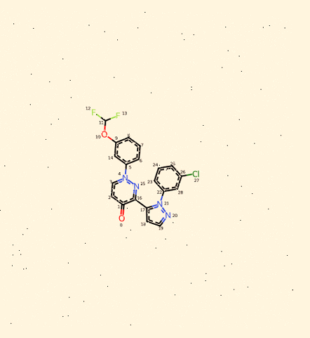 O=c1ccn(-c2cccc(OC(F)F)c2)nc1-c1ccnn1-c1cccc(Cl)c1